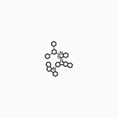 c1ccc(-c2cc(-c3ccccc3)cc(-c3nc(-n4c5ccc(-n6c7ccccc7c7ccc8ccccc8c76)cc5c5cc6ccccc6cc54)c4ccccc4n3)c2)cc1